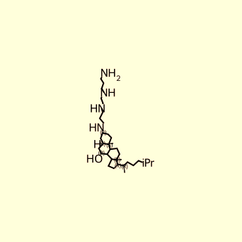 CC(C)CCC[C@@H](C)[C@H]1CCC2C3C(CC[C@@]21C)[C@@]1(C)CC[C@@H](NCCCNCCNCCCN)C[C@@H]1C[C@H]3O